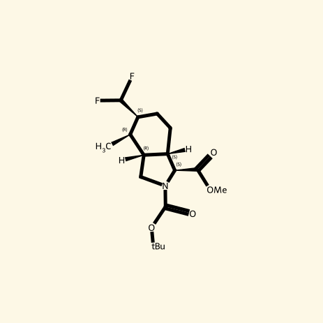 COC(=O)[C@@H]1[C@H]2CC[C@H](C(F)F)[C@H](C)[C@H]2CN1C(=O)OC(C)(C)C